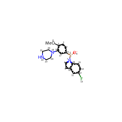 COc1ccc([S+]([O-])n2ccc3cc(F)ccc32)cc1N1CCNCC1